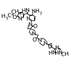 CN/C=N\C(=N)C12CC(N3CCN(C(=O)CN4CC[C@]5(CCN(c6ccc(N)c(C(=N)c7ccc(OC(C)C)nc7)n6)C5=O)C4)CC3)(C1)C2